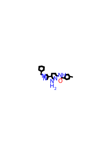 Cc1ccc(C(=O)Nc2ccc(-c3cnn(Cc4ccccc4)c3)c(N)n2)cc1